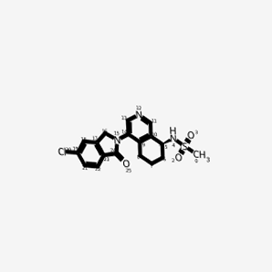 CS(=O)(=O)N[C@H]1CCCc2c1cncc2N1Cc2cc(Cl)ccc2C1=O